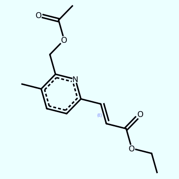 CCOC(=O)/C=C/c1ccc(C)c(COC(C)=O)n1